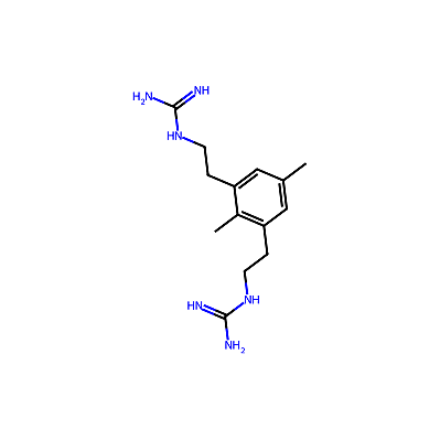 Cc1cc(CCNC(=N)N)c(C)c(CCNC(=N)N)c1